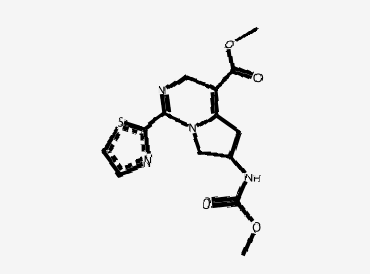 COC(=O)NC1CC2=C(C(=O)OC)CN=C(c3nccs3)N2C1